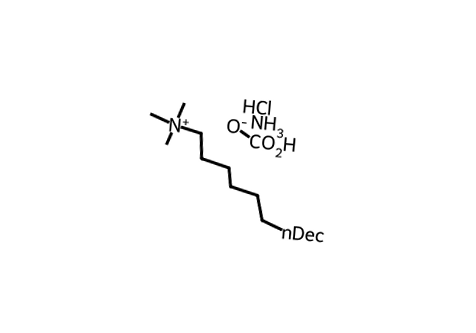 CCCCCCCCCCCCCCCC[N+](C)(C)C.Cl.N.O=C([O-])O